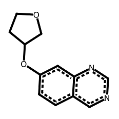 c1ncc2ccc(OC3CCOC3)cc2n1